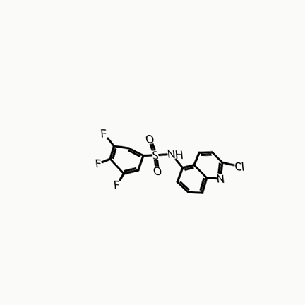 O=S(=O)(Nc1cccc2nc(Cl)ccc12)c1cc(F)c(F)c(F)c1